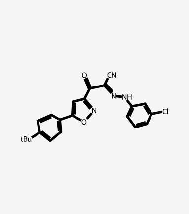 CC(C)(C)c1ccc(-c2cc(C(=O)C(C#N)=NNc3cccc(Cl)c3)no2)cc1